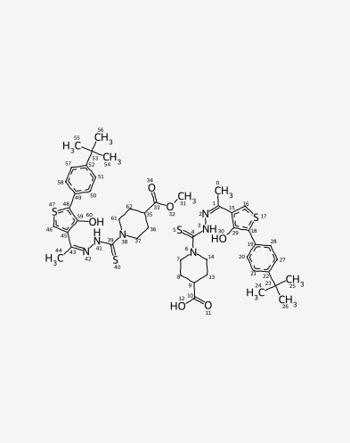 CC(=NNC(=S)N1CCC(C(=O)O)CC1)c1csc(-c2ccc(C(C)(C)C)cc2)c1O.COC(=O)C1CCN(C(=S)NN=C(C)c2csc(-c3ccc(C(C)(C)C)cc3)c2O)CC1